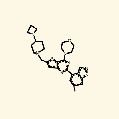 Fc1cc(-c2nc(N3CCOCC3)c3sc(CN4CCC(N5CCC5)CC4)cc3n2)c2cn[nH]c2c1